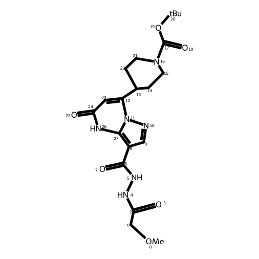 COCC(=O)NNC(=O)c1cnn2c(C3CCN(C(=O)OC(C)(C)C)CC3)cc(=O)[nH]c12